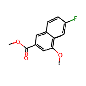 COC(=O)c1cc(OC)c2cc(F)ccc2c1